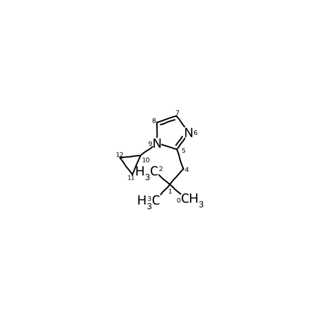 CC(C)(C)Cc1nccn1C1CC1